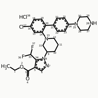 CCOC(=O)c1cnn(C2CCCN(c3cc(Cl)ccc3-c3ccc(N4CCNCC4)cc3)C2)c1C(F)F.Cl